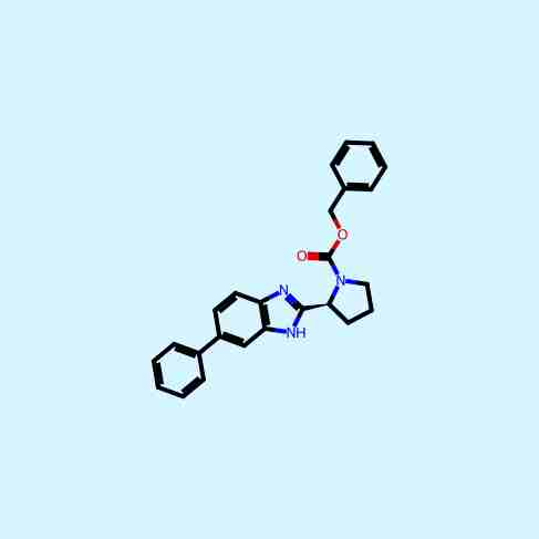 O=C(OCc1ccccc1)N1CCC[C@H]1c1nc2ccc(-c3ccccc3)cc2[nH]1